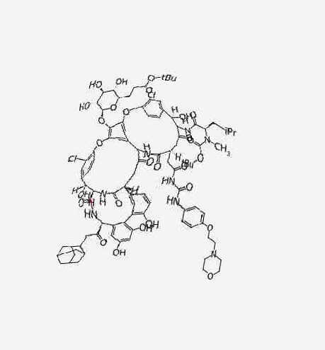 CC(C)C[C@H](C(=O)N[C@H]1C(=O)C[C@@H](CC(=O)NC(=O)Nc2ccc(OCCN3CCOCC3)cc2)C(=O)NC2C(=O)C[C@H]3C(=O)N[C@H](C(=O)N[C@H](C(=O)CC4C5CC6CC(C5)CC4C6)c4cc(O)cc(O)c4-c4cc3ccc4O)[C@H](O)c3ccc(c(Cl)c3)Oc3cc2cc(c3O[C@@H]2O[C@H](CCC(=O)OC(C)(C)C)[C@@H](O)[C@H](O)[C@H]2O)Oc2ccc(cc2Cl)[C@H]1O)N(C)C(=O)OC(C)(C)C